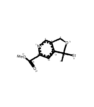 CCC1(C)OCc2cnc(C(=O)OC)cc21